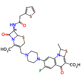 CC1Sc2c(C(=O)O)c(=O)c3cc(F)c(N4CCN(CC5=C(C(=O)O)N6C(=O)[C@@H](NC(=O)Cc7cccs7)C6SC5)CC4)cc3n21